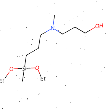 CCO[Si](C)(CCCN(C)CCCO)OCC